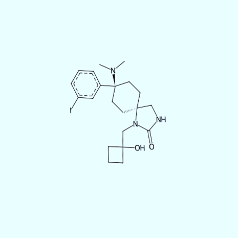 CN(C)[C@]1(c2cccc(I)c2)CC[C@]2(CC1)CNC(=O)N2CC1(O)CCC1